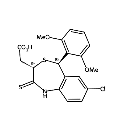 COc1cccc(OC)c1[C@@H]1S[C@@H](CC(=O)O)C(=S)Nc2ccc(Cl)cc21